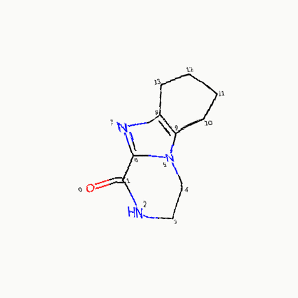 O=C1NCCn2c1nc1c2CCCC1